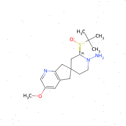 COc1cnc2c(c1)CC1(CCN(N)[C@H]([S+]([O-])C(C)(C)C)C1)C2